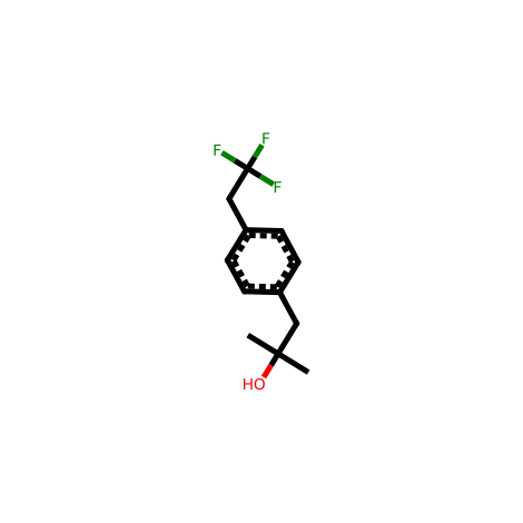 CC(C)(O)Cc1ccc(CC(F)(F)F)cc1